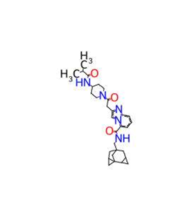 CC(C)C(=O)NC1CCN(C(=O)Cc2cn3c(C(=O)NCC45CC6CC6C6(CC6C4)C5)cccc3n2)CC1